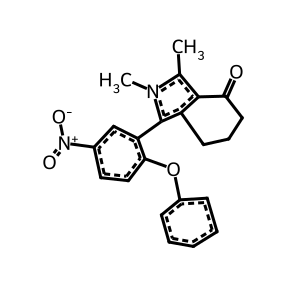 Cc1c2c(c(-c3cc([N+](=O)[O-])ccc3Oc3ccccc3)n1C)CCCC2=O